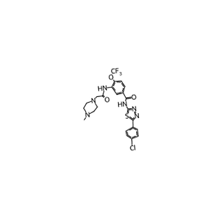 CN1CCN(CC(=O)Nc2cc(C(=O)Nc3nnc(-c4ccc(Cl)cc4)s3)ccc2OC(F)(F)F)CC1